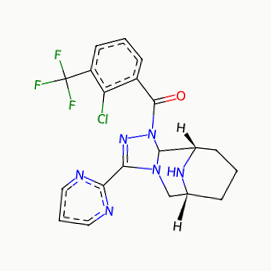 O=C(c1cccc(C(F)(F)F)c1Cl)N1N=C(c2ncccn2)N2C[C@H]3CCC[C@H](N3)C21